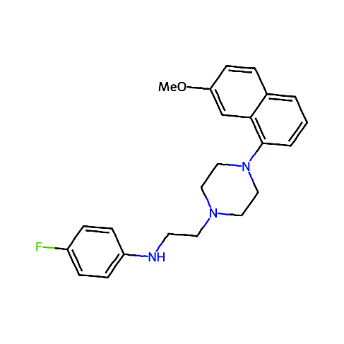 COc1ccc2cccc(N3CCN(CCNc4ccc(F)cc4)CC3)c2c1